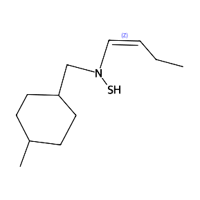 CC/C=C\N(S)CC1CCC(C)CC1